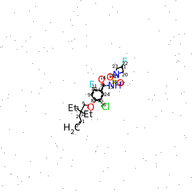 C=CCC(CC)(CC)COc1cc(F)c(C(=O)NS(=O)(=O)N2CC(F)C2)cc1Cl